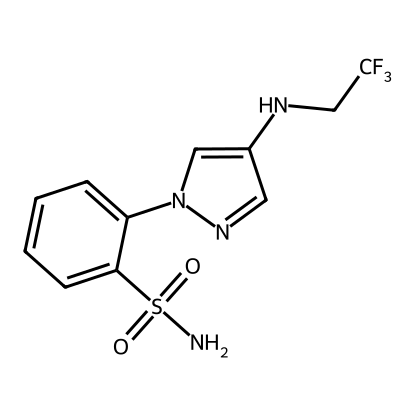 NS(=O)(=O)c1ccccc1-n1cc(NCC(F)(F)F)cn1